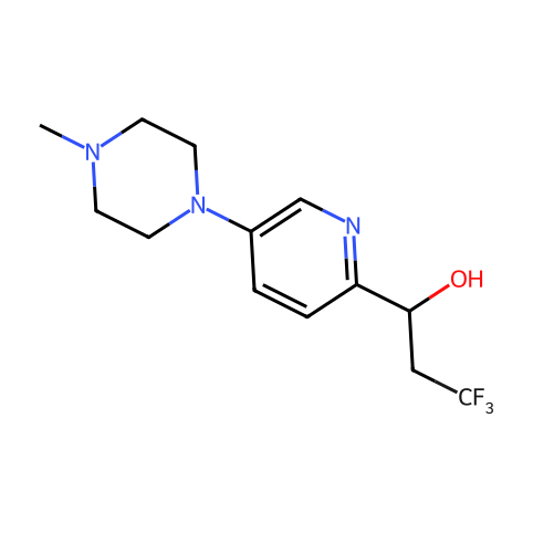 CN1CCN(c2ccc(C(O)CC(F)(F)F)nc2)CC1